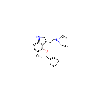 CCN(C)CCc1c[nH]c2ccc(C)c(OCc3ccccc3)c12